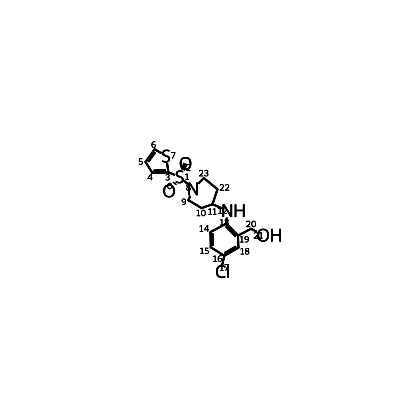 O=S(=O)(c1cccs1)N1CCC(Nc2ccc(Cl)cc2CO)CC1